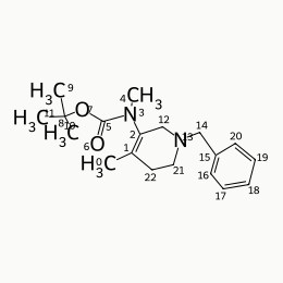 CC1=C(N(C)C(=O)OC(C)(C)C)CN(Cc2ccccc2)CC1